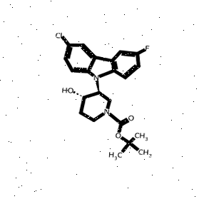 CC(C)(C)OC(=O)N1CC[C@H](O)[C@@H](n2c3ccc(F)cc3c3cc(Cl)ccc32)C1